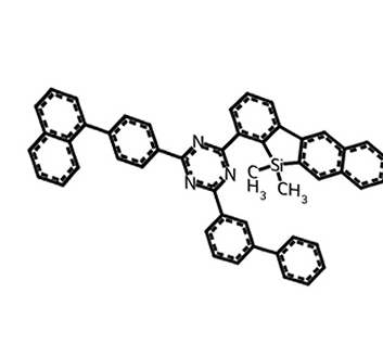 C[Si]1(C)c2cc3ccccc3cc2-c2cccc(-c3nc(-c4ccc(-c5cccc6ccccc56)cc4)nc(-c4cccc(-c5ccccc5)c4)n3)c21